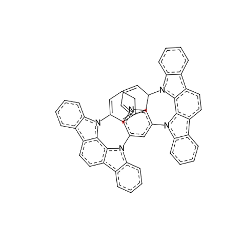 C1=CCC(n2c3ccccc3c3ccc4c5ccccc5n(-c5cncc(-n6c7ccccc7c7ccc8c9ccccc9n(C9=CCCC=C9)c8c76)c5)c4c32)C=C1